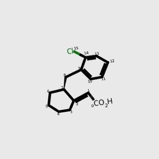 O=C(O)C=C1CCCC[C@H]1Cc1ccccc1Cl